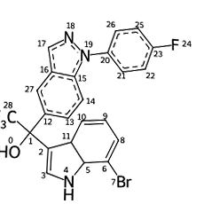 OC(C1=CNC2C(Br)=CC=CC12)(c1ccc2c(cnn2-c2ccc(F)cc2)c1)C(F)(F)F